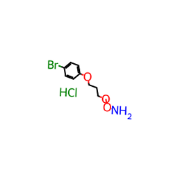 Cl.NOOCCCOc1ccc(Br)cc1